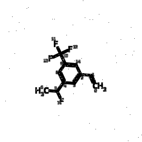 C=Cc1cc(C(C)F)cc(C(F)(F)F)c1